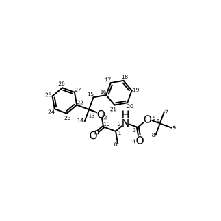 CC(NC(=O)OC(C)(C)C)C(=O)OC(C)(Cc1ccccc1)c1ccccc1